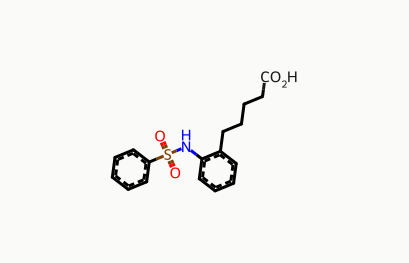 O=C(O)CCCCc1ccccc1NS(=O)(=O)c1ccccc1